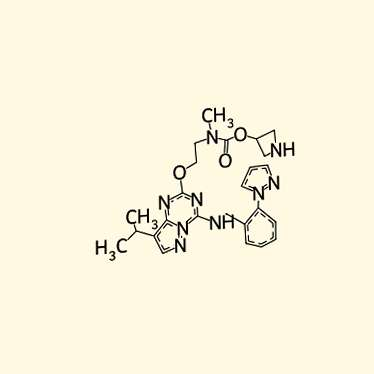 CC(C)c1cnn2c(NCc3ccccc3-n3cccn3)nc(OCCN(C)C(=O)OC3CNC3)nc12